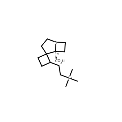 C[N+](C)(C)CCC1CCC12CCN1CC[C@]12C(=O)O